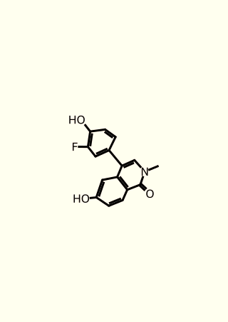 Cn1cc(-c2ccc(O)c(F)c2)c2cc(O)ccc2c1=O